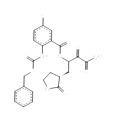 CNC(=O)C(=O)C(C[C@@H]1CCNC1=O)NC(=O)c1cc(Cl)ccc1NC(=O)OCc1ccccc1